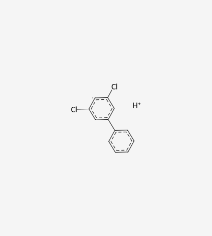 Clc1[c]c(Cl)cc(-c2ccccc2)c1.[H+]